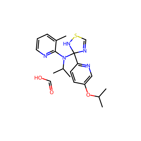 Cc1cccnc1N(C(C)C)C1(c2ccc(OC(C)C)cn2)N=CSN1.O=CO